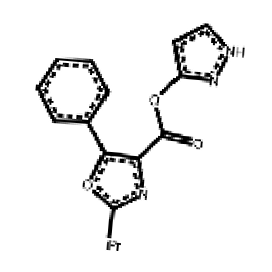 CC(C)c1nc(C(=O)Oc2cc[nH]n2)c(-c2ccccc2)o1